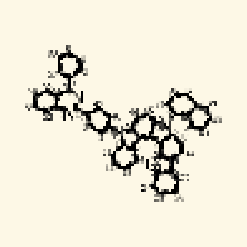 c1ccc(-c2nc(-c3ccc(-n4c5ccccc5c5c6c7c8oc9ccccc9c8ccc7n(-c7cccc8ccccc78)c6ccc54)cc3)nc3ccccc23)cc1